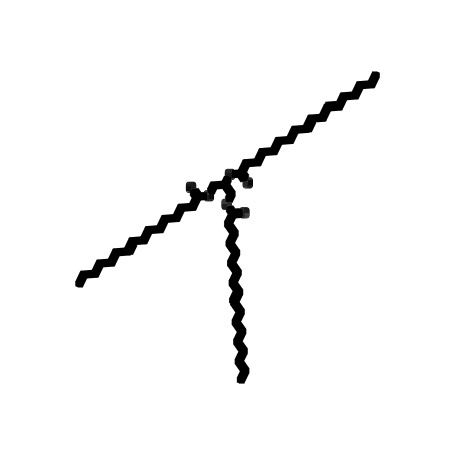 CCCCC/C=C/C/C=C/CCCCCCCC(=O)OC(COC(=O)CCCCCCC/C=C/CCCCCC)COC(=O)CCCCCCC/C=C/CCCCCCCC